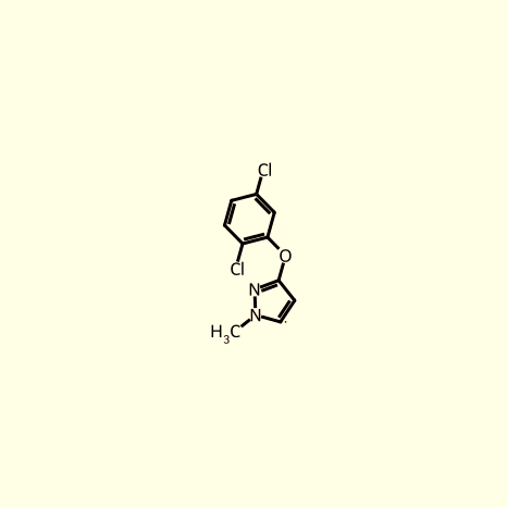 Cn1[c]cc(Oc2cc(Cl)ccc2Cl)n1